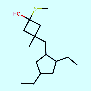 CCC1CC(CC)C(CC2(C)CC(O)(SC)C2)C1